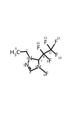 CCN1N=CN(F)C1C(F)(F)C(F)(F)F